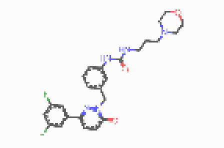 O=C(NCCCN1CCOCC1)Nc1cccc(Cn2nc(-c3cc(F)cc(F)c3)ccc2=O)c1